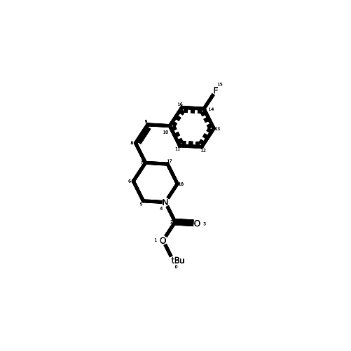 CC(C)(C)OC(=O)N1CCC(/C=C\c2cccc(F)c2)CC1